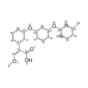 COC=C(C(=O)O)c1cccc(Oc2cccc(Oc3nccc(C)n3)c2)c1